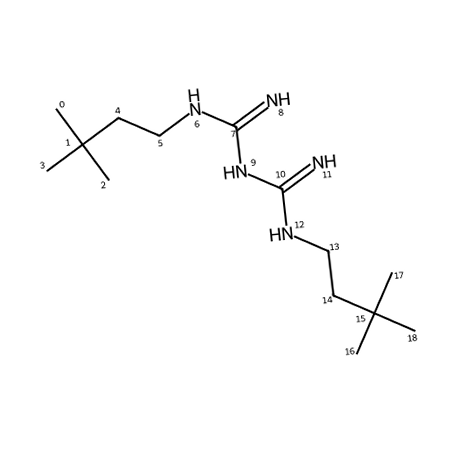 CC(C)(C)CCNC(=N)NC(=N)NCCC(C)(C)C